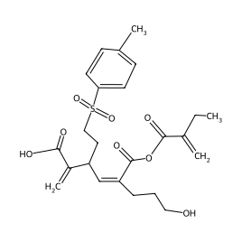 C=C(CC)C(=O)OC(=O)C(=CC(CCS(=O)(=O)c1ccc(C)cc1)C(=C)C(=O)O)CCCO